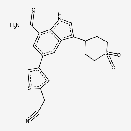 N#CCc1cc(-c2cc(C(N)=O)c3[nH]cc(C4CCS(=O)(=O)CC4)c3c2)cs1